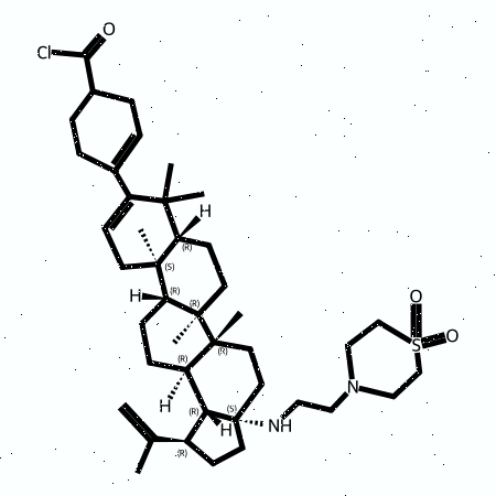 C=C(C)[C@@H]1CC[C@]2(NCCN3CCS(=O)(=O)CC3)CC[C@]3(C)[C@H](CC[C@@H]4[C@@]5(C)CC=C(C6=CCC(C(=O)Cl)CC6)C(C)(C)[C@@H]5CC[C@]43C)[C@@H]12